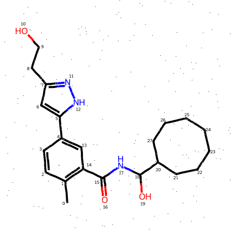 Cc1ccc(-c2cc(CCO)n[nH]2)cc1C(=O)NC(O)C1CCCCCCC1